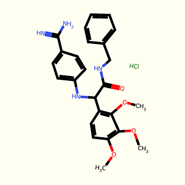 COc1ccc(C(Nc2ccc(C(=N)N)cc2)C(=O)NCc2ccccc2)c(OC)c1OC.Cl